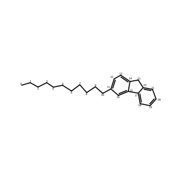 CCCCCCCCCCCc1ccc2c(c1)-c1ccccc1C2